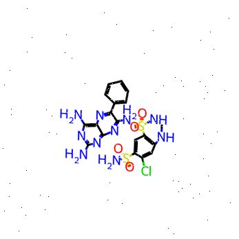 NS(=O)(=O)c1cc2c(cc1Cl)NCNS2(=O)=O.Nc1nc(N)c2nc(-c3ccccc3)c(N)nc2n1